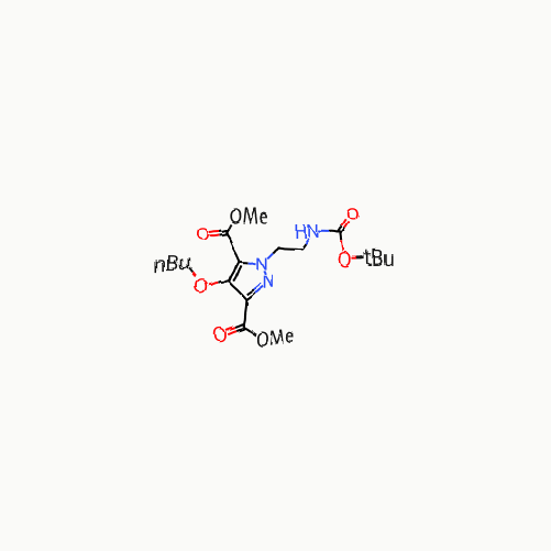 CCCCOc1c(C(=O)OC)nn(CCNC(=O)OC(C)(C)C)c1C(=O)OC